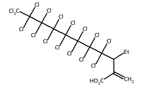 C=C(C(=O)O)C(CC)C(Cl)(Cl)C(Cl)(Cl)C(Cl)(Cl)C(Cl)(Cl)C(Cl)(Cl)C(Cl)(Cl)C(Cl)(Cl)C(Cl)(Cl)Cl